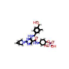 Cc1cc(CNc2nc(N3CC4CC4C3)ncc2C(=O)NC2CCC(OP(=O)(O)O)CC2)ccc1CO